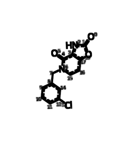 O=c1[nH]c2c(=O)n(Cc3cccc(Cl)c3)ccc2o1